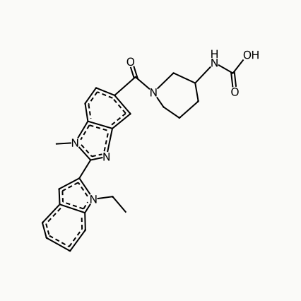 CCn1c(-c2nc3cc(C(=O)N4CCCC(NC(=O)O)C4)ccc3n2C)cc2ccccc21